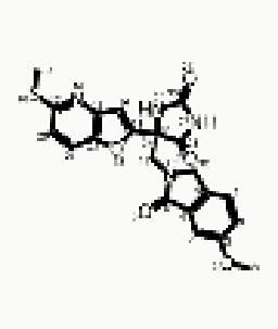 COc1ccc2c(c1)C(=O)N(C[C@@]1(c3cc4nc(SC)ccc4o3)NC(=O)NC1=O)C2